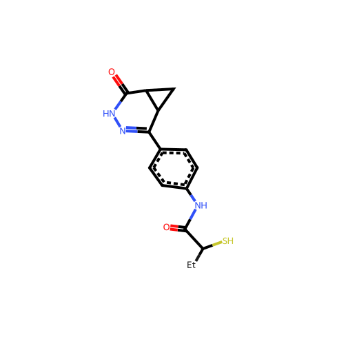 CCC(S)C(=O)Nc1ccc(C2=NNC(=O)C3CC23)cc1